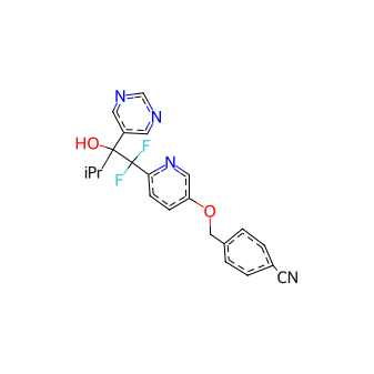 CC(C)C(O)(c1cncnc1)C(F)(F)c1ccc(OCc2ccc(C#N)cc2)cn1